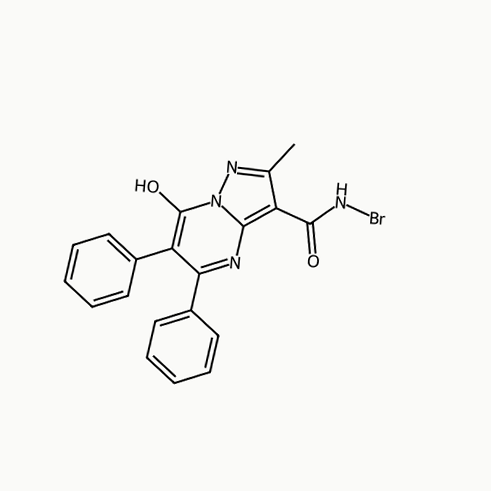 Cc1nn2c(O)c(-c3ccccc3)c(-c3ccccc3)nc2c1C(=O)NBr